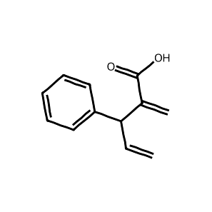 C=CC(C(=C)C(=O)O)c1ccccc1